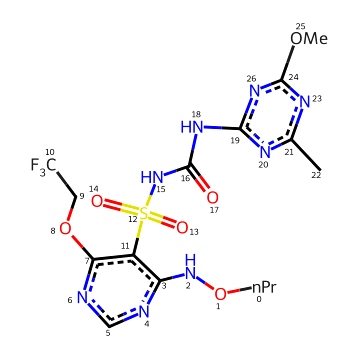 CCCONc1ncnc(OCC(F)(F)F)c1S(=O)(=O)NC(=O)Nc1nc(C)nc(OC)n1